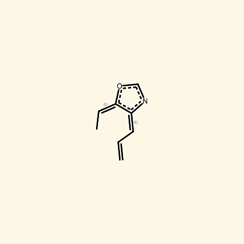 C=C/C=c1/nco/c1=C/C